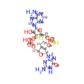 Nc1nc2c(ncn2C2OC3COP(=O)(O)OC4C(COP(=O)(S)OC2C3CCS)OC(n2cnc3c(N)ncnc32)C4O)c(=O)[nH]1